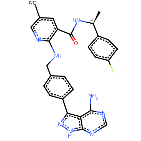 C[C@H](NC(=O)c1cc(C#N)cnc1NCc1ccc(-c2n[nH]c3ncnc(N)c23)cc1)c1ccc(F)cc1